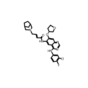 O=C(/C=C/CN1CC2CCC(C2)C1)Nc1cc2c(Nc3ccc(F)c(Cl)c3)ncnc2cc1O[C@H]1CCOC1